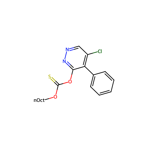 CCCCCCCCOC(=S)Oc1nncc(Cl)c1-c1ccccc1